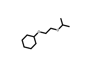 CC(C)OCCOC1CCCCC1